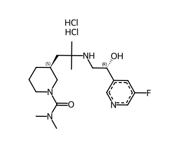 CN(C)C(=O)N1CCC[C@@H](CC(C)(C)NC[C@H](O)c2cncc(F)c2)C1.Cl.Cl